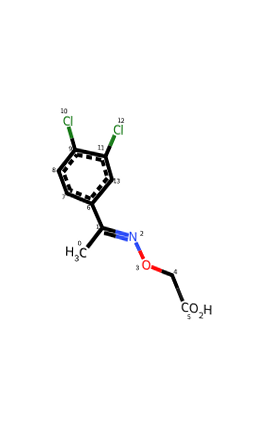 CC(=NOCC(=O)O)c1ccc(Cl)c(Cl)c1